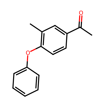 CC(=O)c1ccc(Oc2ccccc2)c(C)c1